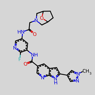 Cn1cc(-c2cc3cc(C(=O)Nc4cc(NC(=O)CN5CC6CCC(C5)O6)cnc4F)cnc3[nH]2)cn1